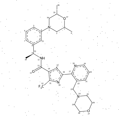 CC1CN(c2cccc([C@H](C)NC(=O)c3sc(-c4ncccc4CN4CCOCC4)nc3C(F)(F)F)c2)CC(C)O1